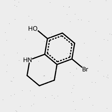 Oc1ccc(Br)c2c1NCCC2